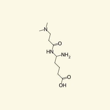 CN(C)CCC(=O)NC(N)CCCC(=O)O